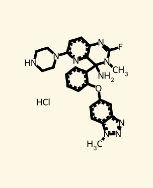 CN1C(F)=Nc2ccc(N3CCNCC3)nc2C1(N)c1ccccc1Oc1ccc2c(c1)nnn2C.Cl